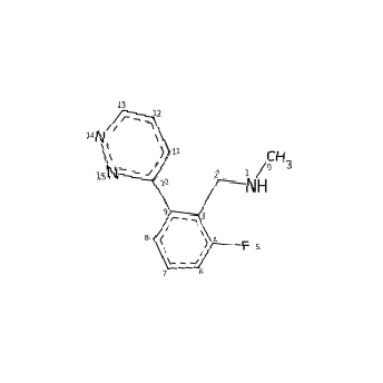 CNCc1c(F)cccc1-c1cccnn1